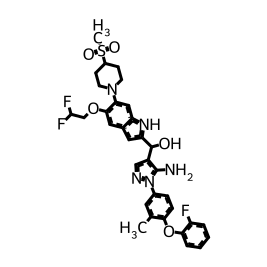 Cc1cc(-n2ncc(C(O)c3cc4cc(OCC(F)F)c(N5CCC(S(C)(=O)=O)CC5)cc4[nH]3)c2N)ccc1Oc1ccccc1F